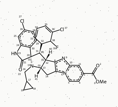 COC(=O)c1ccn2c3c(nc2c1)[C@@H]1[C@H](C3)N(CC2CC2)[C@@]2(C(=O)Nc3cc(Cl)ccc32)[C@H]1C1C=CC=C(Cl)C1F